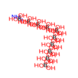 N.OB(O)O.OB(O)O.OB(O)O.OB(O)O.OB(O)O.OB(O)O.OB(O)O.OB(O)O.OB(O)O.OB(O)O